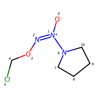 [O-]/[N+](=N/OCCl)N1CCCC1